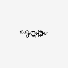 C[C@@H]1CN(C(=O)OC(C)(C)C)CCN1c1ncc(Br)cn1